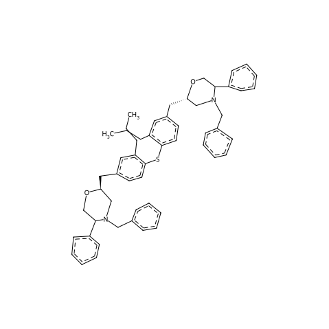 CCCc1cc(C[C@H]2CN(Cc3ccccc3)C(c3ccccc3)CO2)ccc1Sc1ccc(C[C@H]2CN(Cc3ccccc3)C(c3ccccc3)CO2)cc1CCC